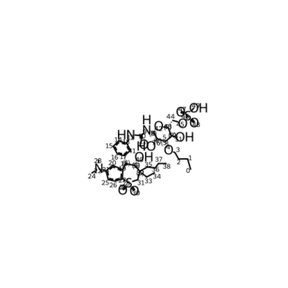 CCCCO[C@@H]1[C@@H](O)[C@H](NC(=O)Nc2cccc([C@H]3c4cc(N(C)C)ccc4S(=O)(=O)C[C@@](CC)(CCCC)[C@H]3O)c2)O[C@H](COS(=O)(=O)O)[C@H]1O